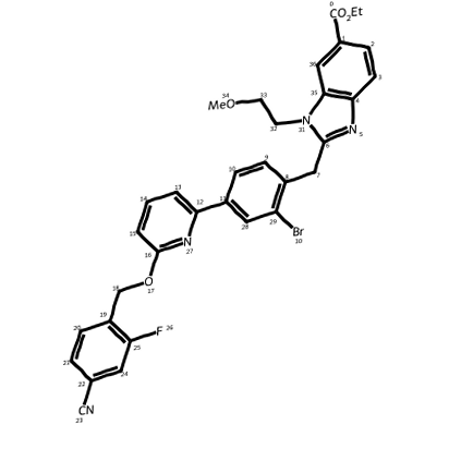 CCOC(=O)c1ccc2nc(Cc3ccc(-c4cccc(OCc5ccc(C#N)cc5F)n4)cc3Br)n(CCOC)c2c1